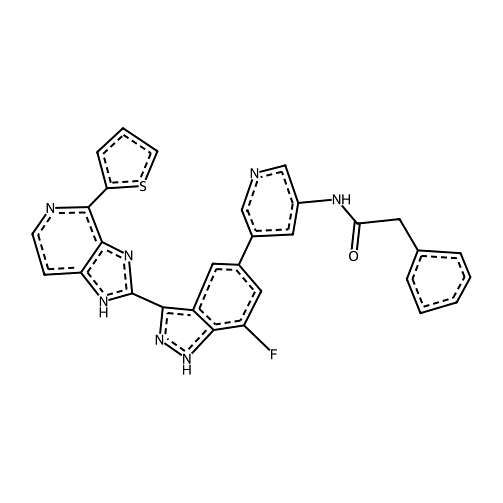 O=C(Cc1ccccc1)Nc1cncc(-c2cc(F)c3[nH]nc(-c4nc5c(-c6cccs6)nccc5[nH]4)c3c2)c1